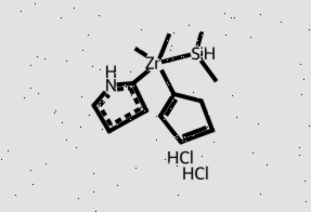 C[SiH](C)[Zr]([CH3])([CH3])([C]1=CC=CC1)[c]1ccc[nH]1.Cl.Cl